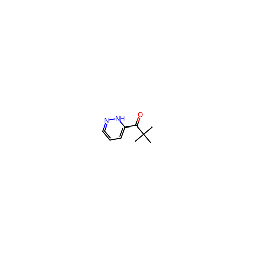 CC(C)(C)C(=O)C1=CC=C=NN1